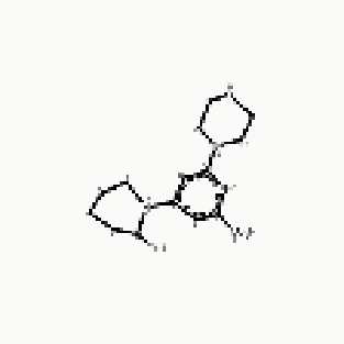 O=C(O)c1cc(N2CCCCC2O)cc(N2CCOCC2)n1